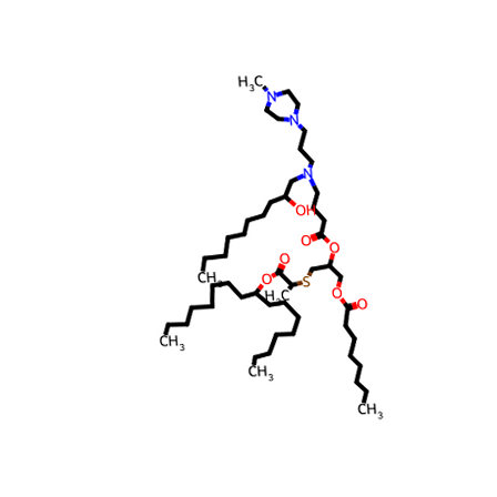 CCCCCCCCC(O)CN(CCCC(=O)OC(COC(=O)CCCCCCC)CSC(C)C(=O)OC(CCCCCCCC)CCCCCCCC)CCCN1CCN(C)CC1